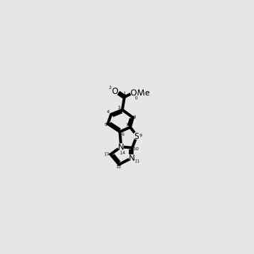 COC(=O)c1ccc2c(c1)sc1nccn12